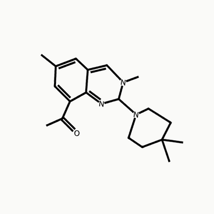 CC(=O)c1cc(C)cc2c1=NC(N1CCC(C)(C)CC1)N(C)C=2